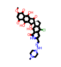 COC1=CC(=O)c2c(O)c3c(c(O)c2C1=O)C(=O)[C@]1(CCc2c1c(O)c1c(=O)[nH]c(C=NNN4CCN(C)CC4)cc1c2Cl)C3=O